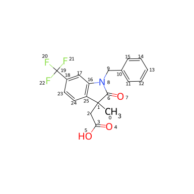 CC1(CC(=O)O)C(=O)N(Cc2ccccc2)c2cc(C(F)(F)F)ccc21